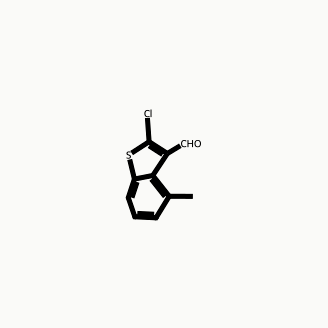 Cc1cccc2sc(Cl)c(C=O)c12